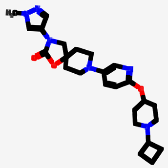 Cn1cc(N2CC3(CCN(c4ccc(OC5CCN(C6CCC6)CC5)nc4)CC3)OC2=O)cn1